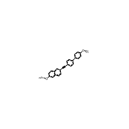 CCCOc1ccc2cc(C#Cc3ccc(-c4ccc(OCC)cc4)cc3)ccc2c1